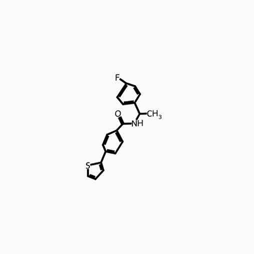 CC(NC(=O)c1ccc(-c2cccs2)cc1)c1ccc(F)cc1